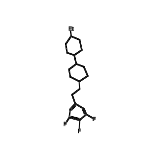 CCC1CCC(C2CCC(CCc3cc(F)c(F)c(F)c3)CC2)CC1